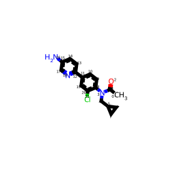 CC(=O)N(CC1CC1)c1ccc(-c2ccc(N)cn2)cc1Cl